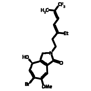 CC/C(=C\C=C(/C)C(F)(F)F)CCN1CC2=C(C=C(OC)C(Br)=C[C@H]2O)C1=O